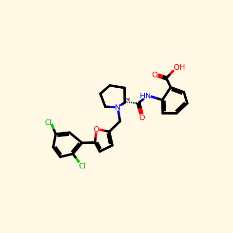 O=C(O)c1ccccc1NC(=O)[C@H]1CCCCN1Cc1ccc(-c2cc(Cl)ccc2Cl)o1